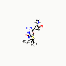 CC1(C)S[C@@H]2[C@H](NC(=O)[C@H](N)c3ccc(O)c(C4CCC=N4)c3)C(=O)N2C1C(=O)O